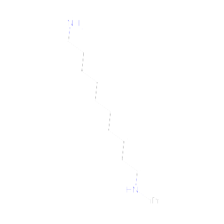 CC(C)NCCCCCCCCCCN